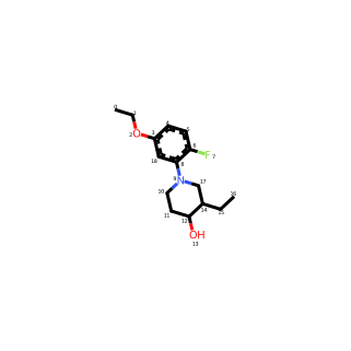 CCOc1ccc(F)c(N2CCC(O)C(CC)C2)c1